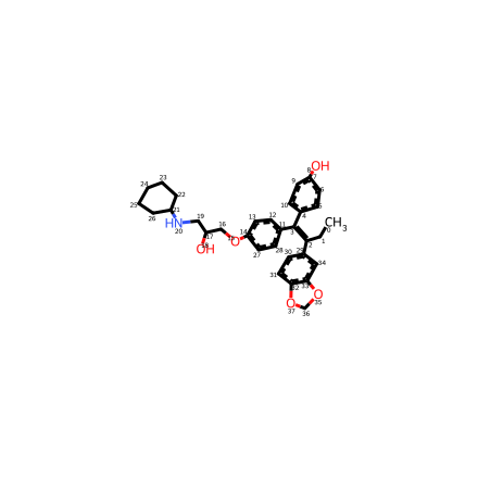 CCC(=C(c1ccc(O)cc1)c1ccc(OCC(O)CNC2CCCCC2)cc1)c1ccc2c(c1)OCO2